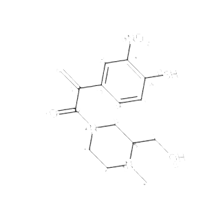 C=C(C(=O)N1CCN(C)C(CO)C1)c1ccc(S)c([N+](=O)[O-])c1